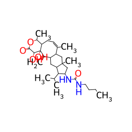 C=C1C2CC3C(C(C)C)C(NC(=O)NCCCC)CC3(C)CC2C(C)=CCC2C(C)OC(=O)C(O)C12O